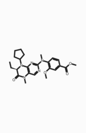 CC[C@@H]1C(=O)N(C)c2cnc(N(C)c3ccc(C(=O)OC)cc3OC)nc2N1C1CCCC1